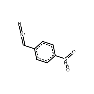 [N-]=[N+]=Cc1ccc([SH](=O)=O)cc1